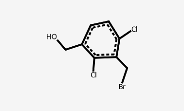 OCc1ccc(Cl)c(CBr)c1Cl